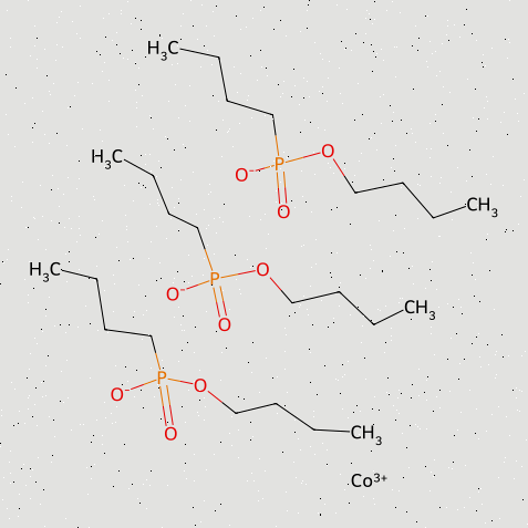 CCCCOP(=O)([O-])CCCC.CCCCOP(=O)([O-])CCCC.CCCCOP(=O)([O-])CCCC.[Co+3]